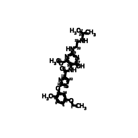 CCOc1ccc(C)c(Oc2nc(C(=O)Nc3c(O)nc(NCCNC(C)C)nc3OC)cs2)c1